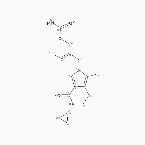 Cc1c2c(cn1CC(=CF)COC(N)=O)C(=O)N(C1CC1)CC2